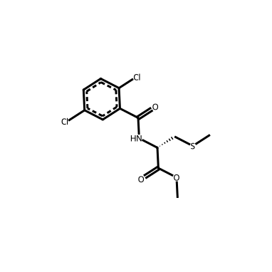 COC(=O)[C@@H](CSC)NC(=O)c1cc(Cl)ccc1Cl